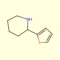 [CH]1CCNC(c2cccs2)C1